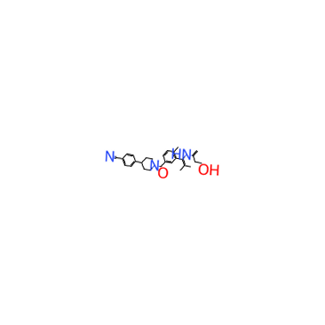 C=C(CCO)NC(=C(C)C)c1cc(C(=O)N2CCC(c3ccc(C#N)cc3)CC2)ccc1C